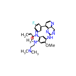 C=CC(=O)Nc1cc(Nc2ncc3nccc(-c4cccc(F)c4)c3n2)c(OC)cc1N(C)CCN(C)C